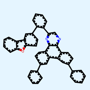 c1ccc(-c2ccc3c(c2)c2cc(-c4ccccc4)ccc2c2nc(-c4ccccc4-c4ccc5oc6ccccc6c5c4)cnc32)cc1